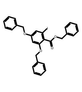 O=C(OCc1ccccc1)c1c(I)cc(OCc2ccccc2)cc1OCc1ccccc1